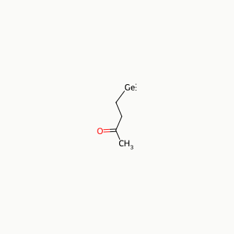 CC(=O)C[CH2][Ge]